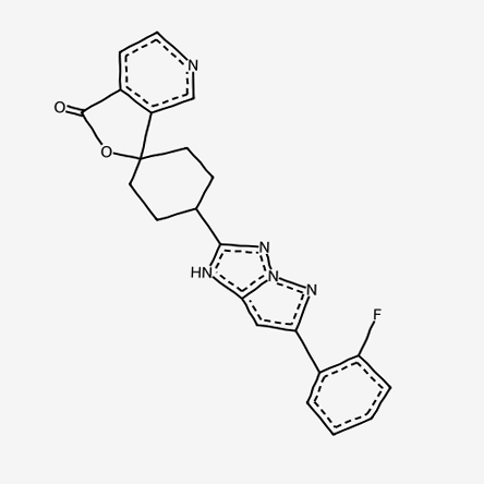 O=C1OC2(CCC(c3nn4nc(-c5ccccc5F)cc4[nH]3)CC2)c2cnccc21